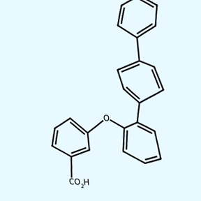 O=C(O)c1cccc(Oc2ccccc2-c2ccc(-c3ccccc3)cc2)c1